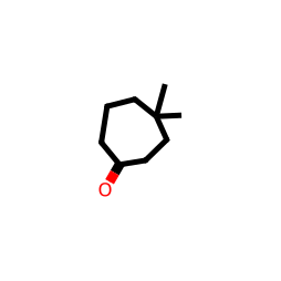 CC1(C)CCCC(=O)CC1